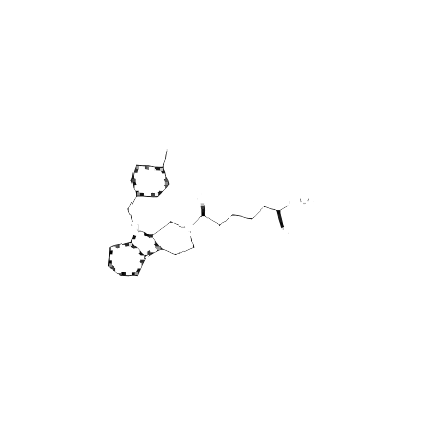 COC(=O)CCCCC(=O)N1CCc2c(n(Cc3ccc(C)cc3)c3ccccc23)C1